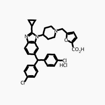 Cl.O=C(O)c1ccc(CN2CCC(n3c(C4CC4)nc4ccc(C(c5ccc(Cl)cc5)c5ccc(Cl)cc5)cc43)CC2)o1